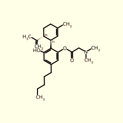 C=C(C)[C@@H]1CCC(C)=C[C@H]1c1c(O)cc(CCCCC)cc1OC(=O)CN(C)C